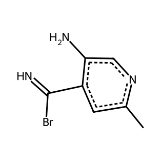 Cc1cc(C(=N)Br)c(N)cn1